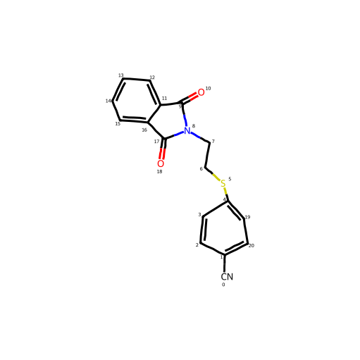 N#Cc1ccc(SCCN2C(=O)c3ccccc3C2=O)cc1